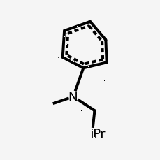 CC(C)CN(C)c1[c]cccc1